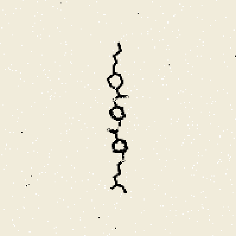 CCCCCC1CCC(C(=O)Oc2ccc(OC(=O)c3ccc(OCCCC(C)CC)cc3)cc2)CC1